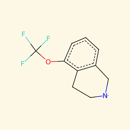 FC(F)(F)Oc1cccc2c1CC[N]C2